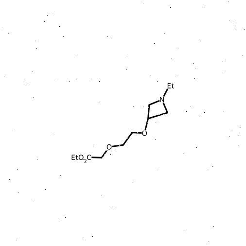 CCOC(=O)COCCOC1CN(CC)C1